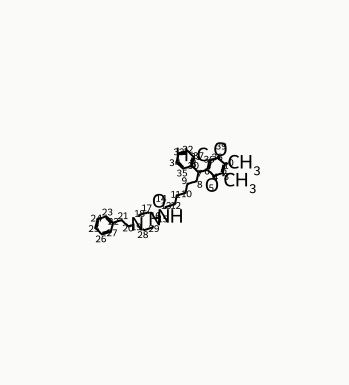 CC1=C(C)C(=O)C(C(CCCCCC(=O)NN2CCN(CCc3ccccc3)CC2)c2ccccc2)=C(C)C1=O